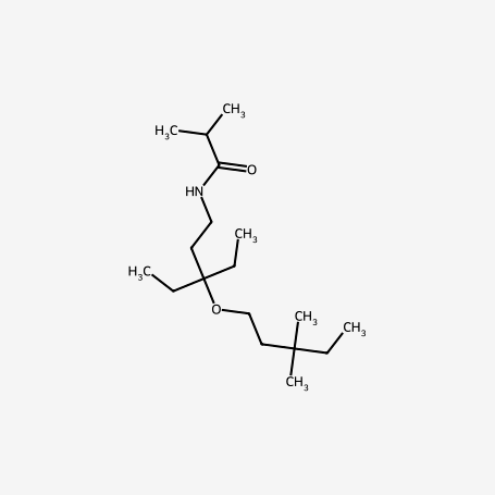 CCC(C)(C)CCOC(CC)(CC)CCNC(=O)C(C)C